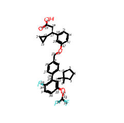 CC1(C)CCC[C@H]1c1cc(COc2cccc([C@H](CC(=O)O)C3CC3)c2)ccc1-c1cc(OC(F)F)ccc1F